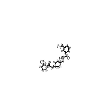 Bc1cccc(C(=O)NCC2CCN(CC(=O)N3CCC[C@H]3C(F)(F)F)CC2)c1